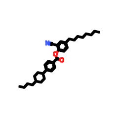 CCCCCCCCc1ccc(OC(=O)c2ccc(C3CCC(CCCC)CC3)cc2)c(C#N)c1